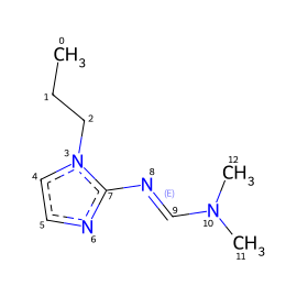 CCCn1ccnc1/N=C/N(C)C